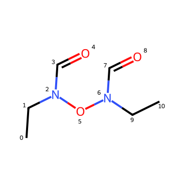 CCN(C=O)ON(C=O)CC